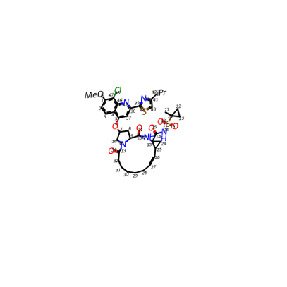 COc1ccc2c(OC3CC4C(=O)NC5(C(=O)NS(=O)(=O)C6(C)CC6)CC5/C=C\CCCCCC(=O)N4C3)cc(-c3nc(C(C)C)cs3)nc2c1Cl